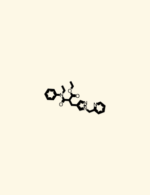 CCOC(=O)C(Cc1cnn(Cc2ccccn2)c1)C(=O)N(CC)c1ccccc1